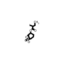 CCC(I)C(=O)OC1CCC2CC1OS2(=O)=O